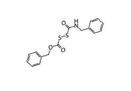 O=C(NCc1ccccc1)SSC(=O)OCc1ccccc1